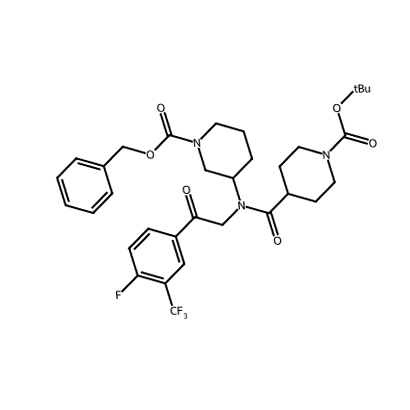 CC(C)(C)OC(=O)N1CCC(C(=O)N(CC(=O)c2ccc(F)c(C(F)(F)F)c2)C2CCCN(C(=O)OCc3ccccc3)C2)CC1